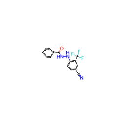 N#Cc1ccc(NNC(=O)c2ccccc2)c(C(F)(F)F)c1